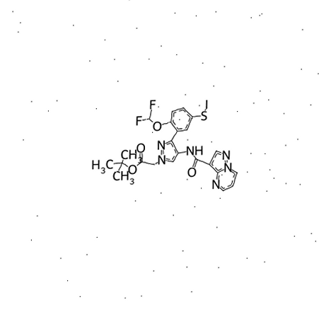 CC(C)(C)OC(=O)Cn1cc(NC(=O)c2cnn3cccnc23)c(-c2cc(SI)ccc2OC(F)F)n1